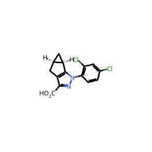 O=C(O)c1nn(-c2ccc(Cl)cc2Cl)c2c1C[C@H]1C[C@@H]21